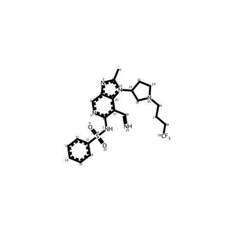 Cc1nc2cnc(NS(=O)(=O)c3ccccc3)c(C=N)c2n1C1CCN(CCCC(F)(F)F)C1